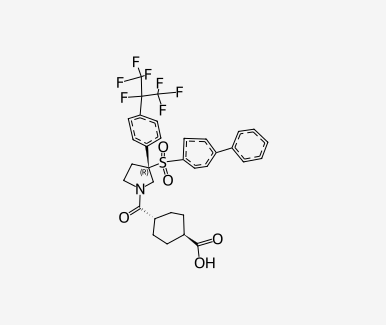 O=C(O)[C@H]1CC[C@H](C(=O)N2CC[C@](c3ccc(C(F)(C(F)(F)F)C(F)(F)F)cc3)(S(=O)(=O)c3ccc(-c4ccccc4)cc3)C2)CC1